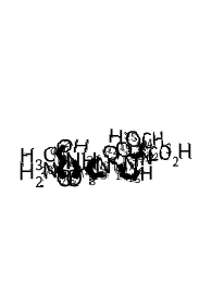 C[C@@H](O)[C@H](NC(=O)[C@H]1CCN(C(=O)[C@@H]2CCCN2C(=O)[C@@H](NC(=O)O)[C@@H](C)O)C1)C(N)=O